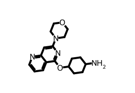 NC1CCC(Oc2nc(N3CCOCC3)cc3ncccc23)CC1